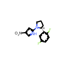 O=[N+]([O-])c1c[nH]c(N2CCC[C@@H]2c2cc(F)ccc2F)c1